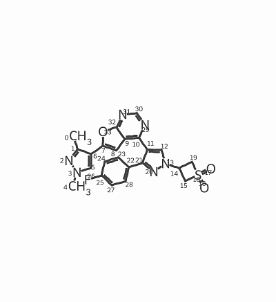 Cc1nn(C)cc1-c1cc2c(-c3cn(C4CS(=O)(=O)C4)nc3-c3ccc(F)cc3)ncnc2o1